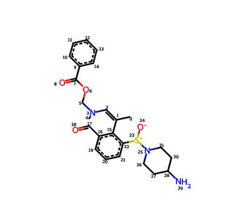 C/C(=C/N(C)COC(=O)c1ccccc1)c1c(C=O)cccc1[S+]([O-])N1CCC(N)CC1